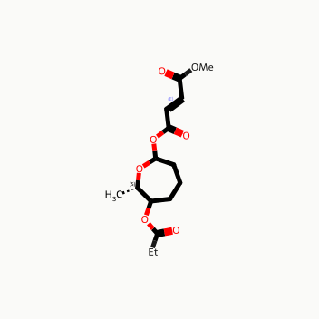 CCC(=O)OC1CCCC(OC(=O)/C=C/C(=O)OC)O[C@H]1C